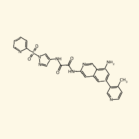 Cc1ccncc1-c1cc(N)c2cnc(NC(=O)C(=O)Nc3cnn(S(=O)(=O)c4ccccn4)c3)cc2c1